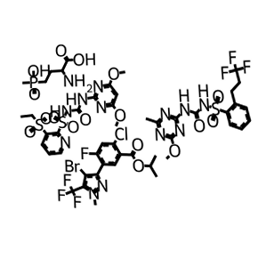 CC(C)OC(=O)c1cc(-c2nn(C)c(C(F)(F)F)c2Br)c(F)cc1Cl.CCS(=O)(=O)c1cccnc1S(=O)(=O)NC(=O)Nc1nc(OC)cc(OC)n1.COc1nc(C)nc(NC(=O)NS(=O)(=O)c2ccccc2CCC(F)(F)F)n1.CP(=O)(O)CCC(N)C(=O)O